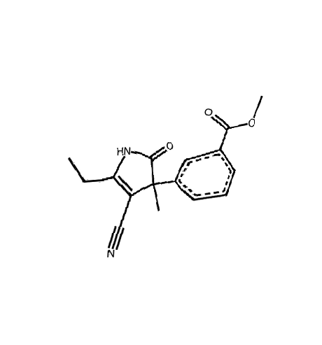 CCC1=C(C#N)C(C)(c2cccc(C(=O)OC)c2)C(=O)N1